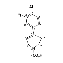 O=C(O)N1CC=C(c2ccc(Cl)c(F)c2)CC1